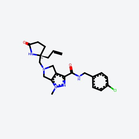 C=CC[C@]1(CN2Cc3c(C(=O)NCc4ccc(Cl)cc4)nn(C)c3C2)CCC(=O)N1